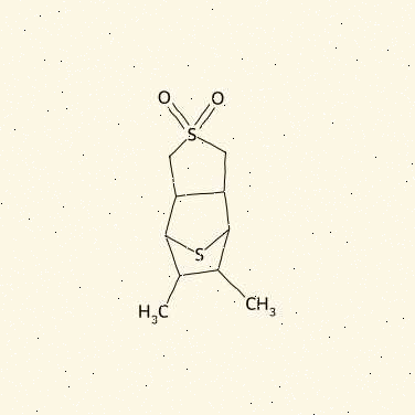 CC1C(C)C2SC1C1CS(=O)(=O)CC12